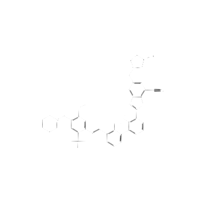 COc1cc(/C=C/c2cccc(-c3cccc(-c4nc5cc(CN6CC[C@@H](O)C6)cc(C#N)c5o4)c3C)c2C)c(C(F)(F)F)cc1CN1CCCC[C@H]1C